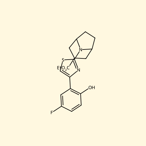 CCOC(=O)C1CC2CCC(C1)N2c1nc(-c2cc(F)ccc2O)cs1